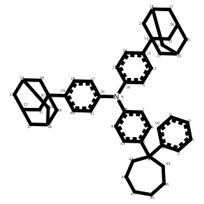 c1ccc(C2(c3ccc(N(c4ccc(C56CC7CC(CC(C7)C5)C6)cc4)c4ccc(C56CC7CC(CC(C7)C5)C6)cc4)cc3)CCCCCC2)cc1